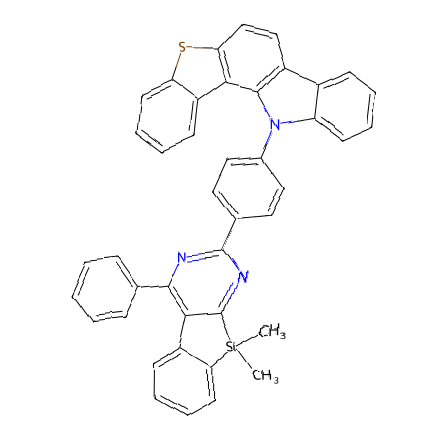 C[Si]1(C)c2ccccc2-c2c(-c3ccccc3)nc(-c3ccc(-n4c5ccccc5c5ccc6sc7ccccc7c6c54)cc3)nc21